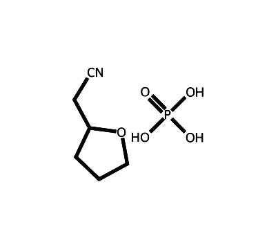 N#CCC1CCCO1.O=P(O)(O)O